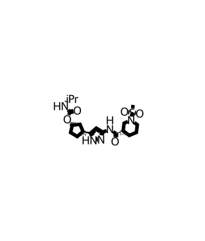 CC(C)NC(=O)O[C@@H]1CC[C@H](c2cc(NC(=O)[C@H]3CCCN(S(C)(=O)=O)C3)n[nH]2)C1